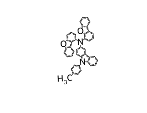 Cc1ccc(-n2c3ccccc3c3cc(N(c4cccc5c4oc4ccccc45)c4cccc5oc6ccccc6c45)ccc32)cc1